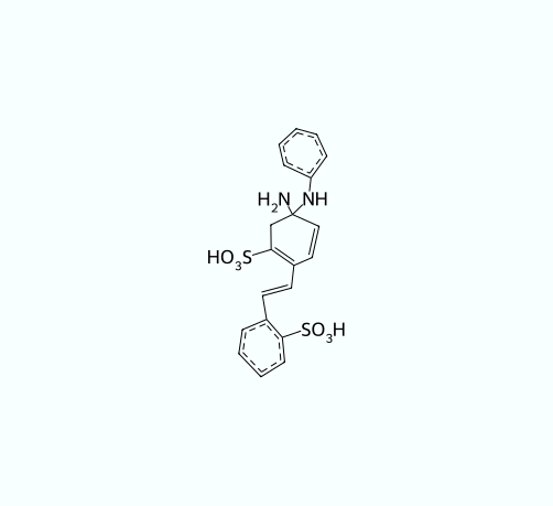 NC1(Nc2ccccc2)C=CC(C=Cc2ccccc2S(=O)(=O)O)=C(S(=O)(=O)O)C1